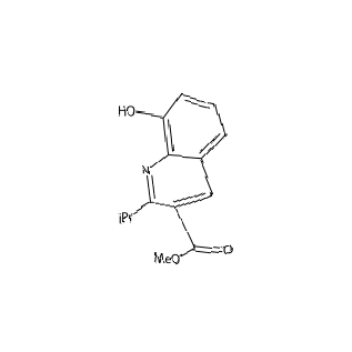 COC(=O)c1cc2cccc(O)c2nc1C(C)C